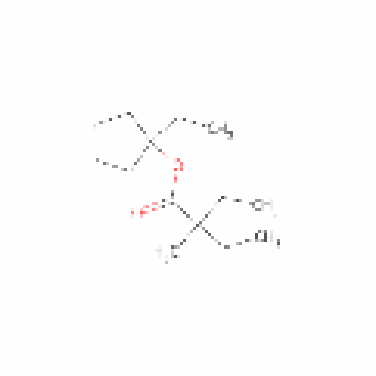 CCC1(OC(=O)C(C)(CC)CC)CCCC1